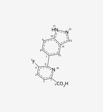 O=C(O)c1ccc(F)c(-c2ccc3[nH]ncc3c2)n1